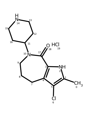 Cc1[nH]c2c(c1Cl)CCCN(C1CCNCC1)C2=O.Cl